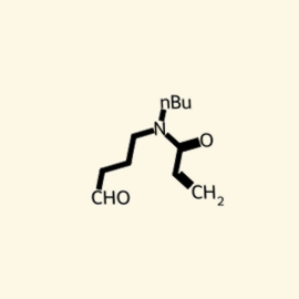 C=CC(=O)N(CCCC)CCCC=O